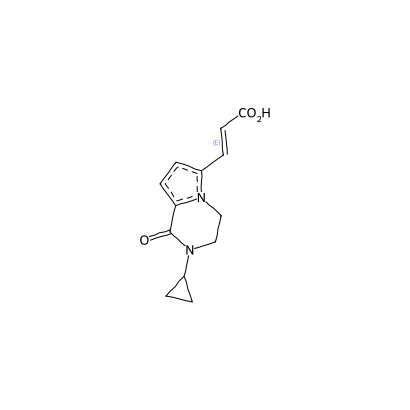 O=C(O)/C=C/c1ccc2n1CCN(C1CC1)C2=O